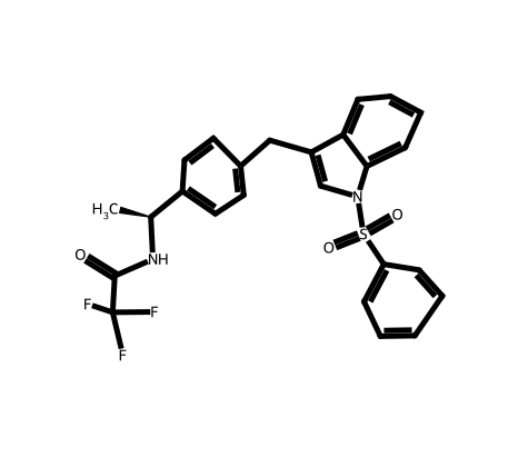 C[C@H](NC(=O)C(F)(F)F)c1ccc(Cc2cn(S(=O)(=O)c3ccccc3)c3ccccc23)cc1